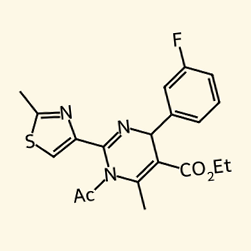 CCOC(=O)C1=C(C)N(C(C)=O)C(c2csc(C)n2)=NC1c1cccc(F)c1